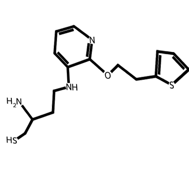 NC(CS)CCNc1cccnc1OCCc1cccs1